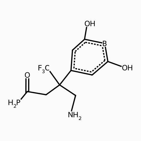 NCC(CC(=O)P)(c1cc(O)bc(O)c1)C(F)(F)F